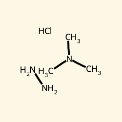 CN(C)C.Cl.NN